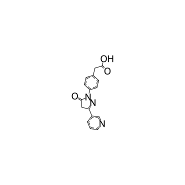 O=C(O)Cc1ccc(N2N=C(c3cccnc3)CC2=O)cc1